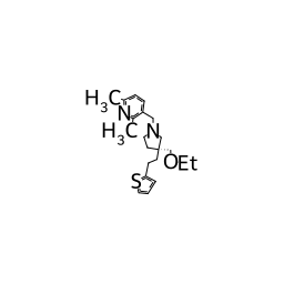 CCOC[C@]1(CCc2cccs2)CCN(Cc2ccc(C)nc2C)C1